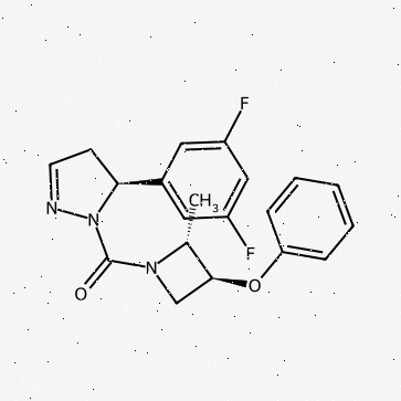 C[C@@H]1[C@@H](Oc2ccccc2)CN1C(=O)N1N=CC[C@H]1c1cc(F)cc(F)c1